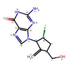 C=C1C(CO)C[C@H](F)C1n1cnc2c(=O)[nH]c(N)nc21